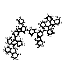 c1ccc(-c2cc(-c3ccc(-c4cc(-c5c6ccccc6c(-c6cc7ccccc7c7ccccc67)c6ccccc56)cc5c4oc4ccccc45)cc3)cc3c2oc2ccc(-c4c5ccccc5c(-c5cc6ccccc6c6ccccc56)c5ccccc45)cc23)cc1